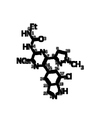 CCNC(=O)Nc1nc(-c2ccn(C)n2)c(-c2cc(Cl)c3[nH]ncc3c2)nc1C#N